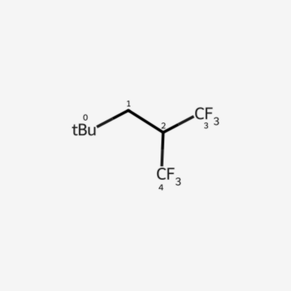 CC(C)(C)CC(C(F)(F)F)C(F)(F)F